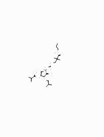 CCCOC(=O)C(C)(C)COC(=O)ON1C(=O)[C@@H](OC(=O)C(C)C)[C@H](OC(=O)C(C)C)C1=O